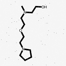 CN(CCO)CCOCCN1CCCC1